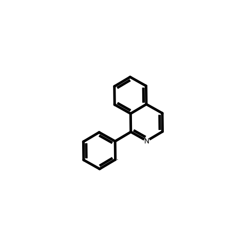 [c]1ccccc1-c1nccc2ccccc12